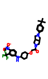 CC(C)(C)c1ccc(N2CC3CN(C(=O)CO[C@H]4CC[C@H](Nc5ccc([N+](=O)[O-])c(C(F)(F)F)c5)CC4)CC3C2)cc1